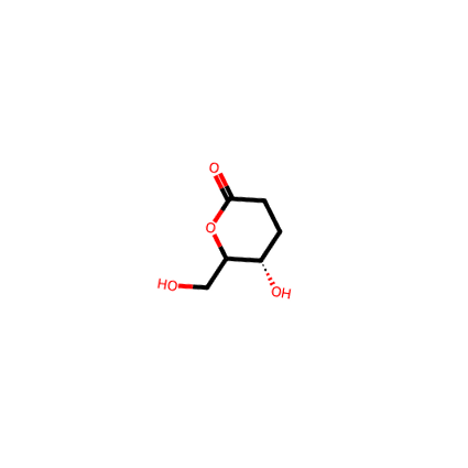 O=C1CC[C@H](O)C(CO)O1